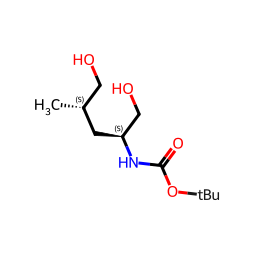 C[C@H](CO)C[C@@H](CO)NC(=O)OC(C)(C)C